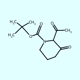 CC(=O)C1C(=O)CCCN1C(=O)OC(C)(C)C